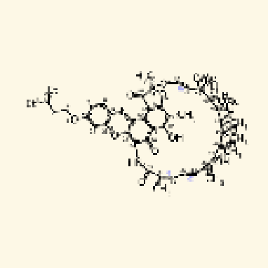 CCN(CC)CCOc1ccc2nc3c4c5c6c(C)c(O)c4c(=O)c(c-3oc2c1)NC(=O)/C(C)=C\C=C\[C@H](C)[C@H](O)[C@@H](C)[C@@H](C)[C@@H](C)[C@H](OC(C)=O)[C@H](C)[C@@H](OC)/C=C/O[C@@](C)(O6)C5=O